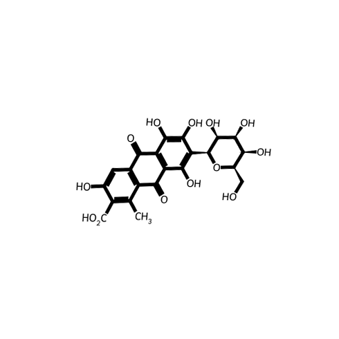 Cc1c(C(=O)O)c(O)cc2c1C(=O)c1c(O)c([C@@H]3O[C@H](CO)[C@H](O)[C@H](O)[C@@H]3O)c(O)c(O)c1C2=O